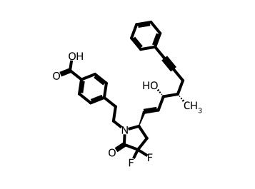 C[C@@H](CC#Cc1ccccc1)[C@@H](O)C=C[C@H]1CC(F)(F)C(=O)N1CCc1ccc(C(=O)O)cc1